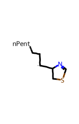 CCCCCCC[CH]C1CSC=N1